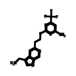 NCc1coc2cnc(CCSc3nc(N)cc(C(F)(F)F)n3)cc12